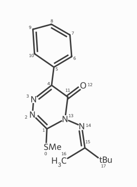 CSc1nnc(-c2ccccc2)c(=O)n1N=C(C)C(C)(C)C